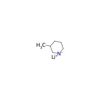 CC1CCC[N-]C1.[Li+]